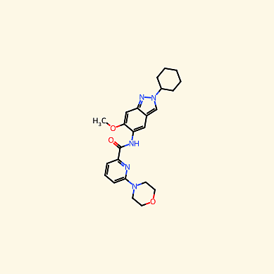 COc1cc2nn(C3CCCCC3)cc2cc1NC(=O)c1cccc(N2CCOCC2)n1